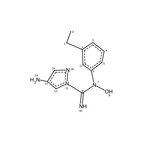 CCc1cccc(N(O)C(=N)n2cc(N)cn2)c1